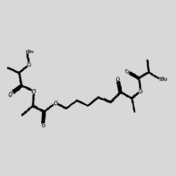 CC(OC(=O)C(C)C(C)(C)C)C(=O)CCCCCOC(=O)C(C)OC(=O)C(C)OC(C)(C)C